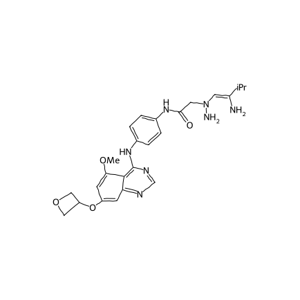 COc1cc(OC2COC2)cc2ncnc(Nc3ccc(NC(=O)CN(N)/C=C(\N)C(C)C)cc3)c12